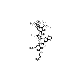 C=CCNC(=O)C(=O)C(CCC)NC(=O)[C@@H]1CC2(CN1C(=O)[C@@H](NC(=O)N[C@H](C(=O)OC(C)(C)C)C(C)C)C(C)(C)C)SCCS2